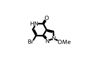 COn1cc2c(=O)[nH]cc(Br)c2n1